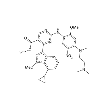 CCCOC(=O)c1cnc(Nc2cc([N+](=O)[O-])c(N(C)CCN(C)C)cc2OC)nc1-c1cn(OC)c2c(C3CC3)cccc12